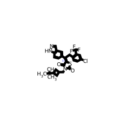 CC(C)(C)[C]1CC(CN2C(=O)S/C(=C(\Cc3ccc(Cl)cc3C(F)(F)F)c3ccc4[nH]ncc4c3)C2=O)C1